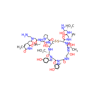 CC1=CC(CC(=O)N(CCN)CC(=O)N[C@@H](CC(C)C)C(=O)N2CCC[C@H]2C(=O)N[C@H]2CSSC[C@@H](C(=O)N[C@@H](CC(C)C)C(=O)N[C@@H](CC(=O)O)[C@H](N)O)NC(=O)[C@H](C(C)O)N[C@H](O)CNC(=O)[C@H](Cc3ccc(O)cc3)NC(=O)[C@H](Cc3ccc(O)cc3)NC(=O)[C@H](CC(=O)O)NC2O)C(=O)NC1=O